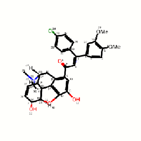 COc1ccc(/C(=C/C(=O)c2cc(O)c3c4c2C[C@@H]2[C@@H]5C=C[C@H](O)[C@H](O3)[C@]45CCN2C)c2ccc(Cl)cc2)cc1OC